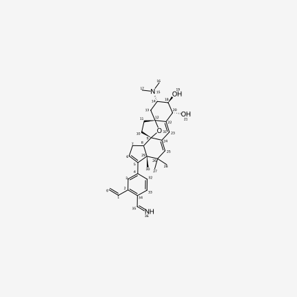 C=Cc1cc(C2=CCC3[C@@]45CC[C@]6(C[C@H](N(C)C)[C@@H](O)[C@H](O)C6=CC4=CC(C)(C)[C@]23C)O5)ccc1C=N